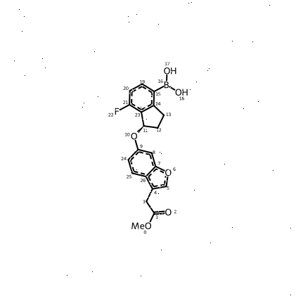 COC(=O)Cc1coc2cc(O[C@@H]3CCc4c(B(O)O)ccc(F)c43)ccc12